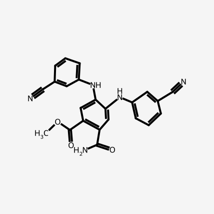 COC(=O)c1cc(Nc2cccc(C#N)c2)c(Nc2cccc(C#N)c2)cc1C(N)=O